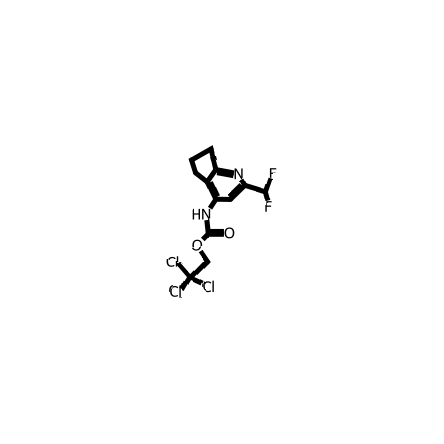 O=C(Nc1cc(C(F)F)nc2c1CCC2)OCC(Cl)(Cl)Cl